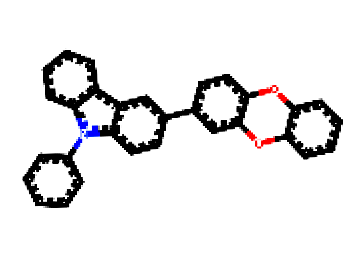 c1ccc(-n2c3ccccc3c3cc(-c4ccc5c(c4)Oc4ccccc4O5)ccc32)cc1